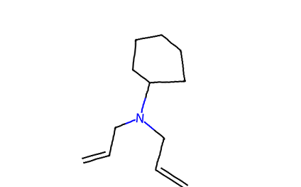 C=CCN(CC=C)C1CCCCC1